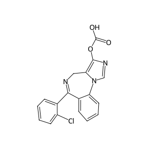 O=C(O)Oc1ncn2c1CN=C(c1ccccc1Cl)c1ccccc1-2